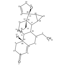 CCC1CC2=CC(=O)CC[C@@H]2C2CC[C@@]3(CC)C(C4CC4[C@@]34C=CCO4)C12